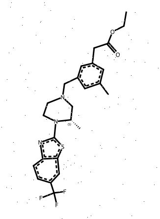 CCOC(=O)Cc1cc(C)cc(CN2CCN(c3nc4ccc(C(F)(F)F)cc4s3)[C@@H](C)C2)c1